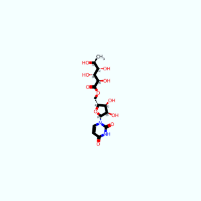 C[C@H](O)[C@H](O)[C@@H](O)[C@@H](O)C(=O)OC[C@H]1O[C@@H](n2ccc(=O)[nH]c2=O)[C@H](O)[C@@H]1O